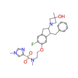 CN(CCOc1cc2c(cc1F)CC(N1CC(C)(O)C1)C2Cc1ccccc1)S(=O)(=O)c1cn(C)cn1